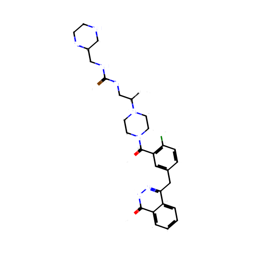 CCCCC(CNC(=S)NCC1CNCCN1)N1CCN(C(=O)c2cc(Cc3n[nH]c(=O)c4ccccc34)ccc2F)CC1